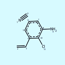 C#N.C=Cc1cccc(N)c1Cl